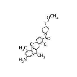 COCCC1CCN(C(=O)c2ccc(Cl)c(Cc3nc4c(C)cc(N)cn4c3C)c2Cl)CC1